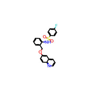 O=S(=O)(Nc1ccccc1COc1ccc2ncccc2c1)c1ccc(F)cc1